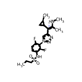 CCCS(=O)(=O)Nc1ccc(F)c(-n2cc(/C(=C(\C)NC)C3CC3C)nn2)c1F